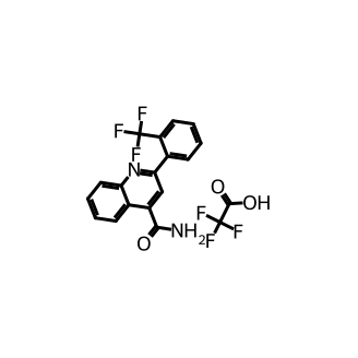 NC(=O)c1cc(-c2ccccc2C(F)(F)F)nc2ccccc12.O=C(O)C(F)(F)F